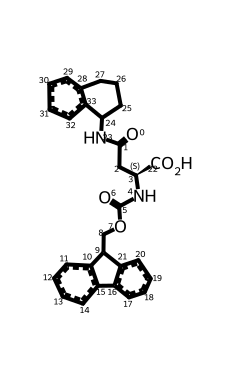 O=C(C[C@H](NC(=O)OCC1c2ccccc2-c2ccccc21)C(=O)O)NC1CCCc2ccccc21